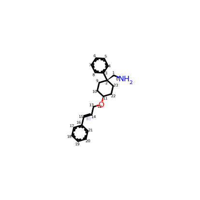 NC[C@]1(c2ccccc2)CC[C@H](OC/C=C/c2ccccc2)CC1